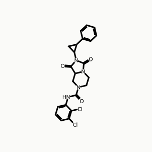 O=C(Nc1cccc(Cl)c1Cl)N1CCN2C(=O)N(C3CC3c3ccccc3)C(=O)C2C1